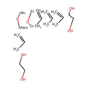 C=CC.C=CC.C=CC.C=CC.CCCCCOCCCC.CCOCC.OCCO.OCCO